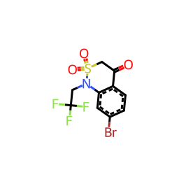 O=C1CS(=O)(=O)N(CC(F)(F)F)c2cc(Br)ccc21